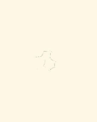 CC(C)(C)c1nc(C(C)(C)C)c2c(Cl)c[nH]c2n1